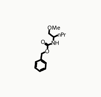 CCCC(COC)NC(=O)OCc1ccccc1